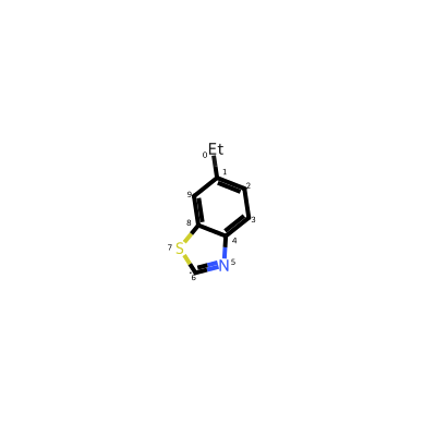 CCc1ccc2n[c]sc2c1